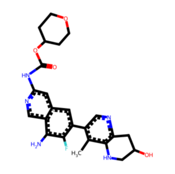 Cc1c(-c2cc3cc(NC(=O)OC4CCOCC4)ncc3c(N)c2F)cnc2c1NCC(O)C2